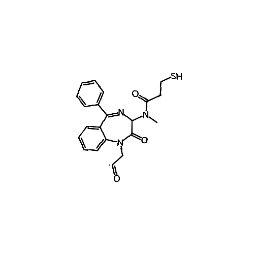 CN(C(=O)CCS)C1N=C(c2ccccc2)c2ccccc2N(C[C]=O)C1=O